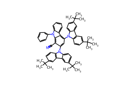 CC(C)(C)c1ccc2c(c1)c1cc(C(C)(C)C)ccc1n2-c1cc(-n2c3ccc(C(C)(C)C)cc3c3cc(C(C)(C)C)ccc32)c2c3ccccc3n(-c3ccccc3)c2c1C#N